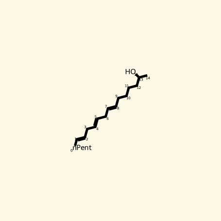 CCCCCC=CCC=CCC=CCCCCC(C)O